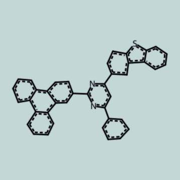 c1ccc(-c2cc(-c3ccc4sc5ccccc5c4c3)nc(-c3ccc4c5ccccc5c5ccccc5c4c3)n2)cc1